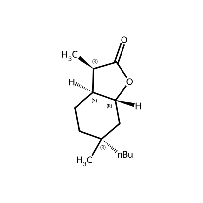 CCCC[C@]1(C)CC[C@@H]2[C@@H](C1)OC(=O)[C@@H]2C